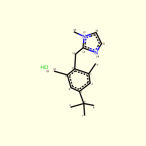 Cc1cc(C(C)(C)C)cc(C)c1Cc1nccn1C.Cl